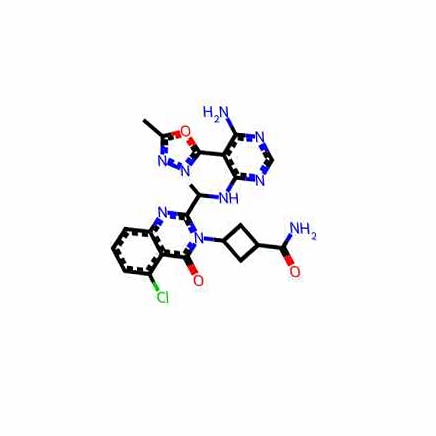 Cc1nnc(-c2c(N)ncnc2NC(C)c2nc3cccc(Cl)c3c(=O)n2C2CC(C(N)=O)C2)o1